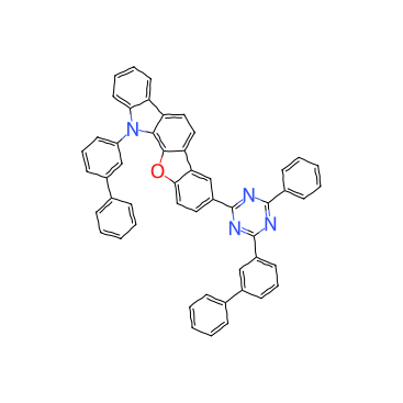 c1ccc(-c2cccc(-c3nc(-c4ccccc4)nc(-c4ccc5oc6c(ccc7c8ccccc8n(-c8cccc(-c9ccccc9)c8)c76)c5c4)n3)c2)cc1